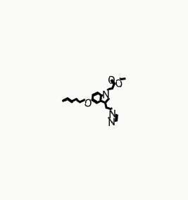 CCCCCCOc1ccc2c(c1)C(CCn1ccnc1)CN2CCC(=O)OCC